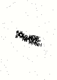 CN1C(=N)N[C@](C)(c2sc(-c3nnc(-c4ccc(F)c(F)c4)o3)cc2Cl)C[S+]1[O-]